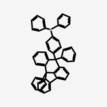 c1ccc(N(c2ccccc2)c2ccc(C3(c4ccccc4)c4ccccc4C4(c5ccccc5)c5ccccc5-c5cccc3c54)cc2)cc1